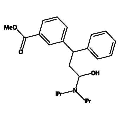 COC(=O)c1cccc(C(CC(O)N(C(C)C)C(C)C)c2ccccc2)c1